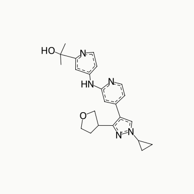 CC(C)(O)c1cc(Nc2cc(-c3cn(C4CC4)nc3C3CCOC3)ccn2)ccn1